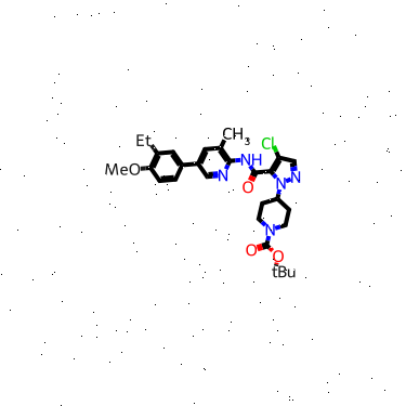 CCc1cc(-c2cnc(NC(=O)c3c(Cl)cnn3C3CCN(C(=O)OC(C)(C)C)CC3)c(C)c2)ccc1OC